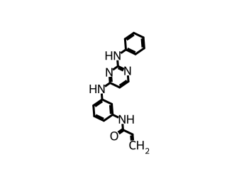 C=CC(=O)Nc1cccc(Nc2ccnc(Nc3ccccc3)n2)c1